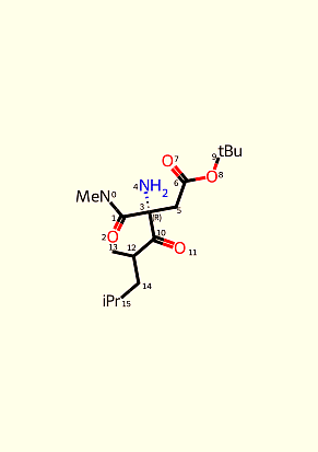 CNC(=O)[C@@](N)(CC(=O)OC(C)(C)C)C(=O)C(C)CC(C)C